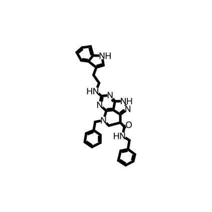 O=C(NCc1ccccc1)C1CN(Cc2ccccc2)c2nc(NCCc3c[nH]c4ccccc34)nc3[nH]nc1c23